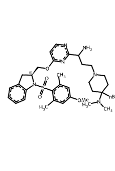 CCCCC1(N(C)C)CCN(CCC(N)c2nccc(OC[C@@H]3Cc4ccccc4N3S(=O)(=O)c3c(C)cc(OC)cc3C)n2)CC1